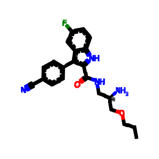 CCCOC[C@H](N)CNC(=O)c1[nH]c2ccc(F)cc2c1-c1ccc(C#N)cc1